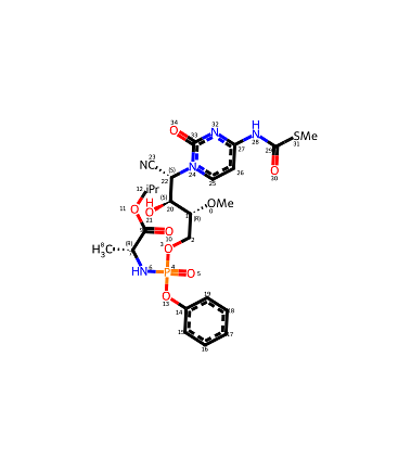 CO[C@H](COP(=O)(N[C@H](C)C(=O)OC(C)C)Oc1ccccc1)[C@@H](O)[C@H](C#N)n1ccc(NC(=O)SC)nc1=O